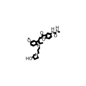 CNC(=O)Nc1ccc2c(c1)C(=O)/C(=C/c1c(C)n(CCCN3CCC(O)C3)c3ccc(OC)cc13)O2